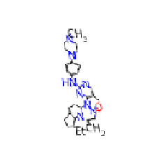 C=CCN1OCc2cnc(Nc3ccc(N4CCN(C)CC4)cc3)nc2N1C1CC=C2CCC(CC)C2=N1